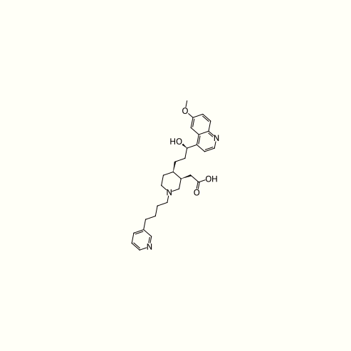 COc1ccc2nccc([C@H](O)CC[C@@H]3CCN(CCCCc4cccnc4)C[C@@H]3CC(=O)O)c2c1